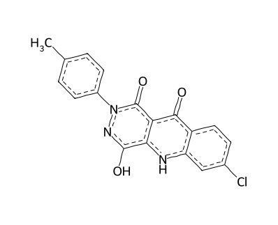 Cc1ccc(-n2nc(O)c3[nH]c4cc(Cl)ccc4c(=O)c3c2=O)cc1